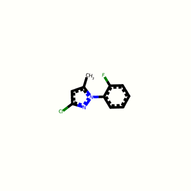 Cc1cc(Cl)nn1-c1ccccc1F